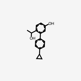 CC(O)c1ccc(O)cc1-c1ccc(C2CC2)cc1